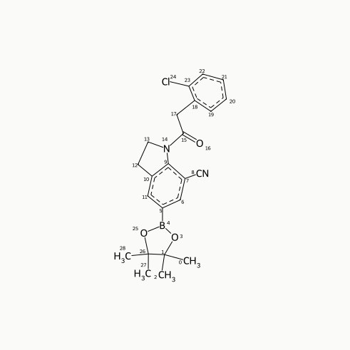 CC1(C)OB(c2cc(C#N)c3c(c2)CCN3C(=O)Cc2ccccc2Cl)OC1(C)C